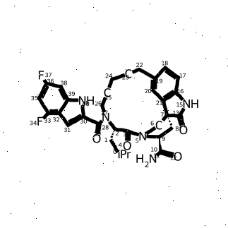 CC(C)C[C@H]1C(=O)N2C[C@]3(C[C@H]2C(N)=O)C(=O)Nc2ccc(cc23)CCCCCN1C(=O)c1cc2c(F)cc(F)cc2[nH]1